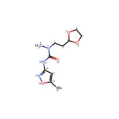 CN(CCC1OCCO1)C(=O)Nc1cc(C(C)(C)C)on1